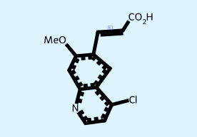 COc1cc2nccc(Cl)c2cc1/C=C/C(=O)O